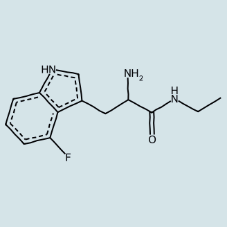 CCNC(=O)C(N)Cc1c[nH]c2cccc(F)c12